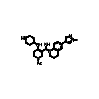 CC(=O)N1CCC(NC2CCNCC2)=C(C(=N)N2CCCc3cc(-c4cnn(C)c4)ccc32)C1